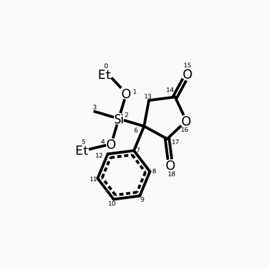 CCO[Si](C)(OCC)C1(c2ccccc2)CC(=O)OC1=O